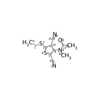 CCSc1sc(C#N)c(N(C)C(C)=O)c1C#N